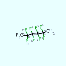 [CH2]C(F)(F)C(F)(F)C(F)(F)C(F)(F)C(F)(F)F